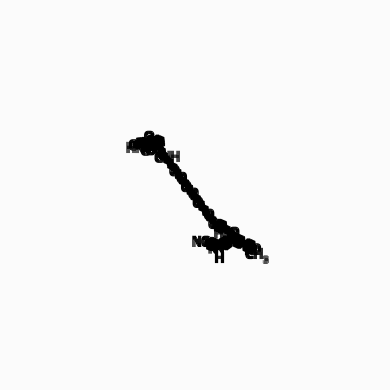 Cn1cc(-c2ccc(N(C(=O)NCc3ccc(OCCOCCCCOCCOCCOCCOCCOCCCCNC(=O)COc4cccc5c4C(=O)N(C4CCC(=O)NC4=O)C5=O)cc3)C3CCC(Nc4ccc(C#N)cn4)CC3)cc2)ccc1=O